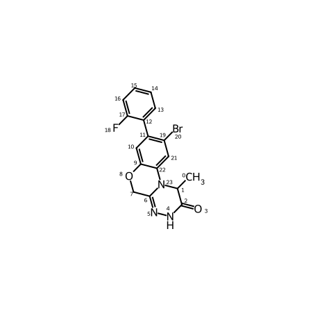 CC1C(=O)NN=C2COc3cc(-c4ccccc4F)c(Br)cc3N21